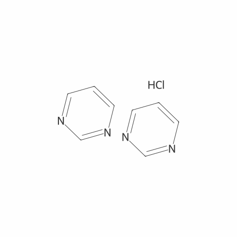 Cl.c1cncnc1.c1cncnc1